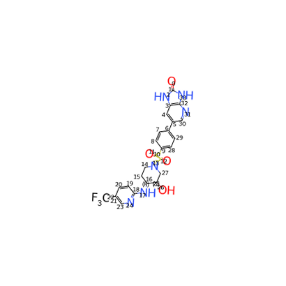 O=c1[nH]c2cc(-c3ccc(S(=O)(=O)N4CC[C@@H](Nc5ccc(C(F)(F)F)cn5)[C@@H](O)C4)cc3)cnc2[nH]1